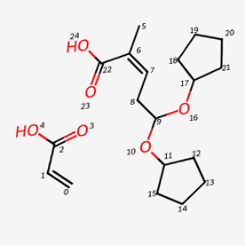 C=CC(=O)O.CC(=CCC(OC1CCCC1)OC1CCCC1)C(=O)O